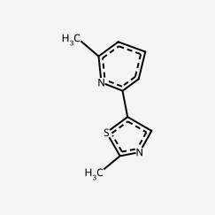 Cc1cccc(-c2cnc(C)s2)n1